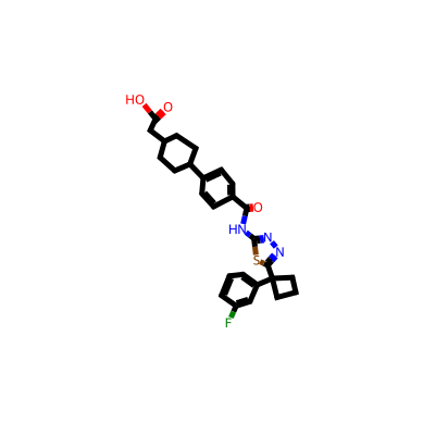 O=C(O)CC1CCC(c2ccc(C(=O)Nc3nnc(C4(c5cccc(F)c5)CCC4)s3)cc2)CC1